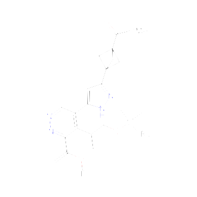 C=C(OCC)c1nncc(-c2cc(C34CC(C(=O)OC)(C3)C4)n[nH]2)c1C(C)CO[Si](C)(C)C(C)(C)C